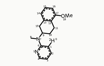 [2H]c1cccnc1N(C)C1CCc2c(cccc2OC)C1